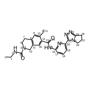 CCNC(=O)N1CCc2cc(F)c(C(=O)Nc3cccc(-c4nnc5n4CCC5)n3)cc2C1